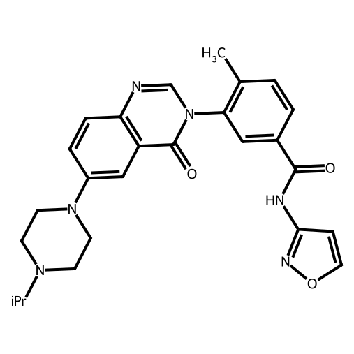 Cc1ccc(C(=O)Nc2ccon2)cc1-n1cnc2ccc(N3CCN(C(C)C)CC3)cc2c1=O